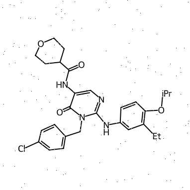 CCc1cc(Nc2ncc(NC(=O)C3CCOCC3)c(=O)n2Cc2ccc(Cl)cc2)ccc1OC(C)C